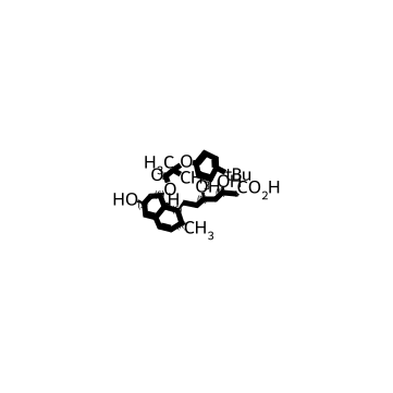 C[C@H]1C=CC2=C[C@@H](O)C[C@H](OC(=O)C(C)(C)Oc3ccc(C(C)(C)C)cc3)[C@@H]2[C@H]1CC[C@@H](O)C[C@@H](O)CC(=O)O